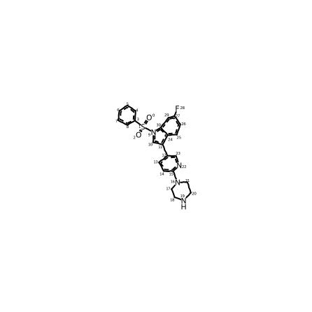 O=S(=O)(c1ccccc1)n1cc(-c2ccc(N3CCNCC3)nc2)c2ccc(F)cc21